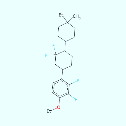 CCOc1ccc(C2CC[C@@H](C3CCC(C)(CC)CC3)C(F)(F)C2)c(F)c1F